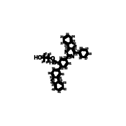 CC(C)(O)C(C)(C)OBc1cc(-c2nc(-c3ccccc3)c3sc4ccccc4c3n2)ccc1-c1ccc2sc3ccccc3c2c1